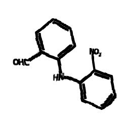 O=Cc1ccccc1Nc1ccccc1[N+](=O)[O-]